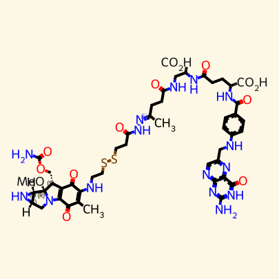 CO[C@@]12[C@H](COC(N)=O)C3=C(C(=O)C(C)=C(NCCSSCCC(=O)N/N=C(\C)CCC(=O)NCC(NC(=O)CCC(NC(=O)c4ccc(NCc5cnc6nc(N)[nH]c(=O)c6n5)cc4)C(=O)O)C(=O)O)C3=O)N1C[C@@H]1N[C@@H]12